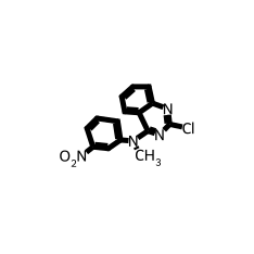 CN(c1cccc([N+](=O)[O-])c1)c1nc(Cl)nc2ccccc12